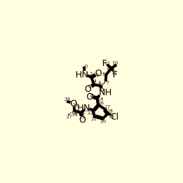 CNC(=O)C(=O)[C@H](CCC(C)(F)F)NC(=O)c1cc(Cl)ccc1NC(=O)[C@H](C)OC